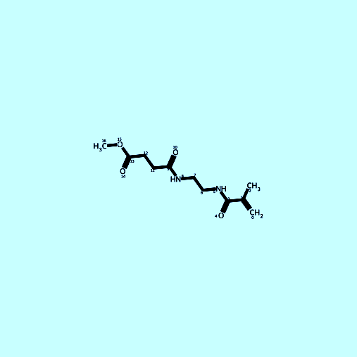 C=C(C)C(=O)NCCNC(=O)CCC(=O)OC